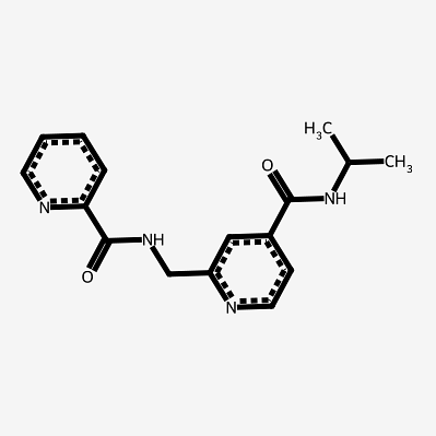 CC(C)NC(=O)c1ccnc(CNC(=O)c2ccccn2)c1